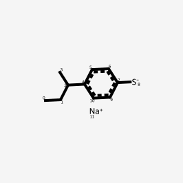 CCC(C)c1ccc([S-])cc1.[Na+]